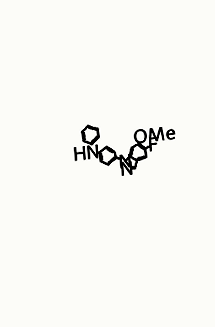 COc1cc2c(cnn2-c2ccc(Nc3ccccc3)cc2)cc1F